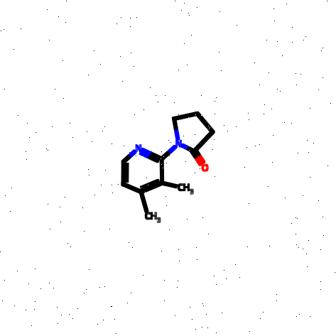 Cc1ccnc(N2CCCC2=O)c1C